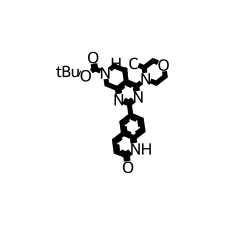 CC1COCCN1c1nc(-c2ccc3[nH]c(=O)ccc3c2)nc2c1CCN(C(=O)OC(C)(C)C)C2